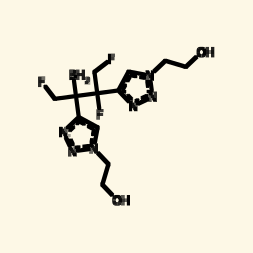 BC(CF)(c1cn(CCO)nn1)C(F)(CF)c1cn(CCO)nn1